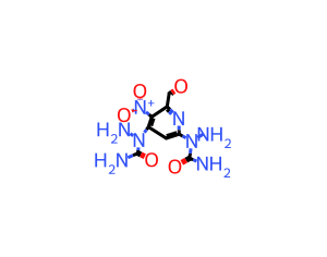 NC(=O)N(N)c1cc(N(N)C(N)=O)c([N+](=O)[O-])c(C=O)n1